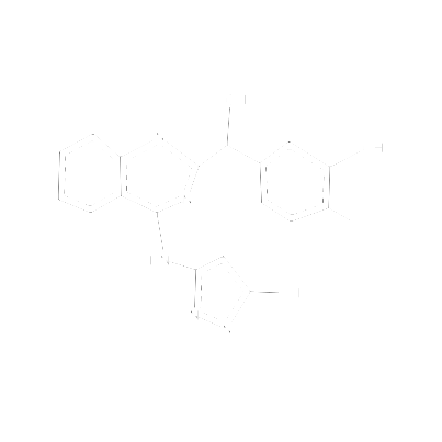 Cc1cc(Nc2nc(C(O)c3ccc(F)c(O)c3)nc3ccccc23)n[nH]1